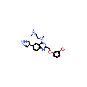 COc1cccc(OCc2nc(N(C)CCN(C)C)c3cc(C4C=NNC4)ccc3n2)c1